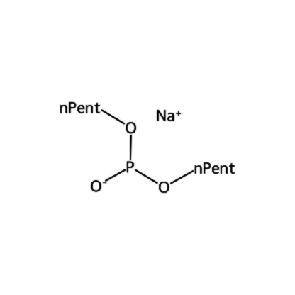 CCCCCOP([O-])OCCCCC.[Na+]